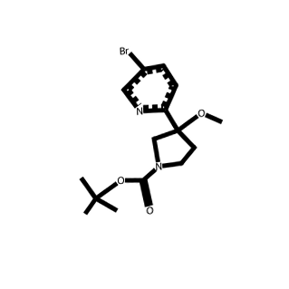 COC1(c2ccc(Br)cn2)CCN(C(=O)OC(C)(C)C)C1